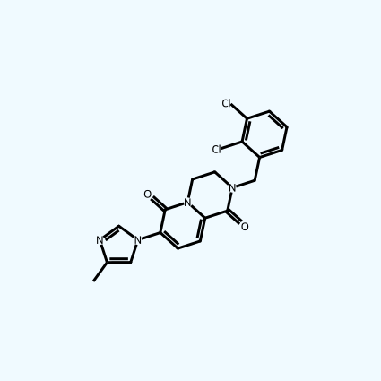 Cc1cn(-c2ccc3n(c2=O)CCN(Cc2cccc(Cl)c2Cl)C3=O)cn1